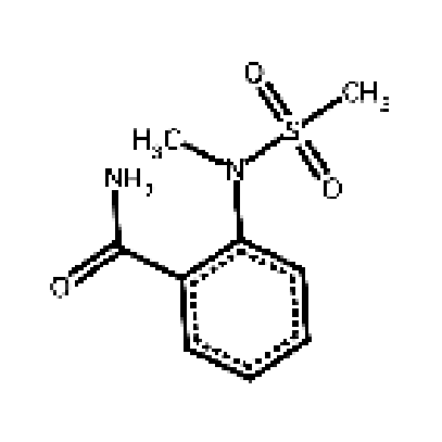 CN(c1ccccc1C(N)=O)S(C)(=O)=O